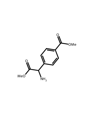 COC(=O)c1ccc(C(N)C(=O)OC)cc1